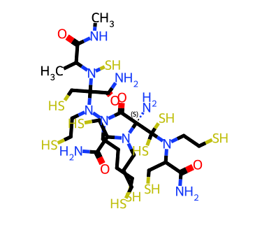 CNC(=O)C(C)N(S)C(CS)(C(N)=O)N(CCS)N(CCCCS)C(=O)[C@](N)(N(CCCS)C(CS)C(N)=O)C(S)(S)N(CCS)C(CS)C(N)=O